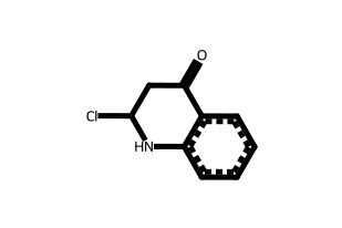 O=C1CC(Cl)Nc2ccccc21